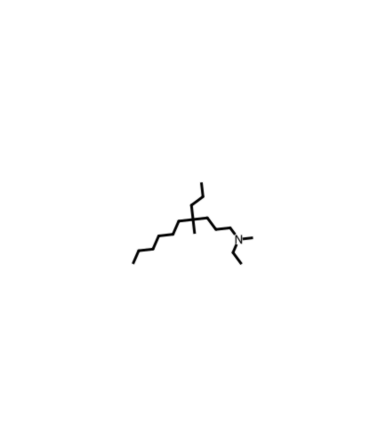 CCCCCCC(C)(CCC)CCCN(C)CC